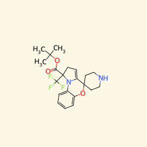 CC(C)(C)OC(=O)C1(C(F)(F)F)CC=C2N1c1ccccc1OC21CCNCC1